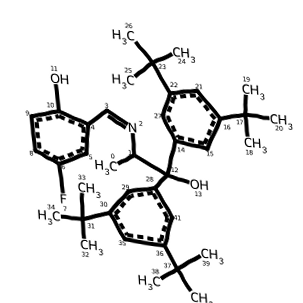 CC(N=Cc1cc(F)ccc1O)C(O)(c1cc(C(C)(C)C)cc(C(C)(C)C)c1)c1cc(C(C)(C)C)cc(C(C)(C)C)c1